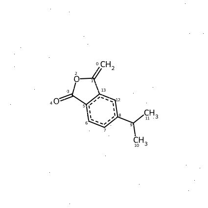 C=C1OC(=O)c2ccc(C(C)C)cc21